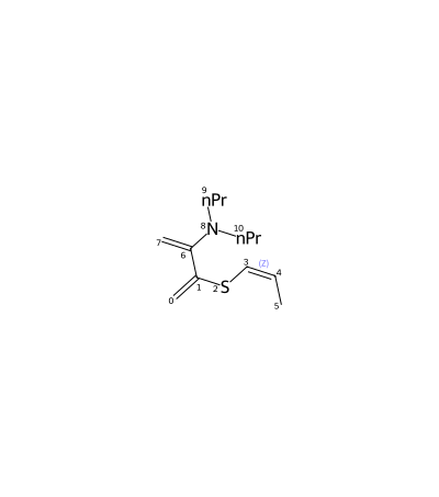 C=C(S/C=C\C)C(=C)N(CCC)CCC